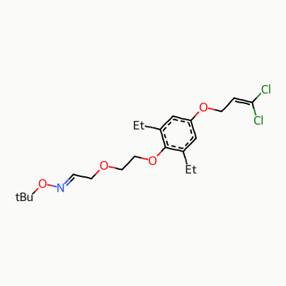 CCc1cc(OCC=C(Cl)Cl)cc(CC)c1OCCOCC=NOC(C)(C)C